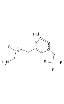 Cl.NC/C(F)=C\Cc1cccc(SC(F)(F)F)c1